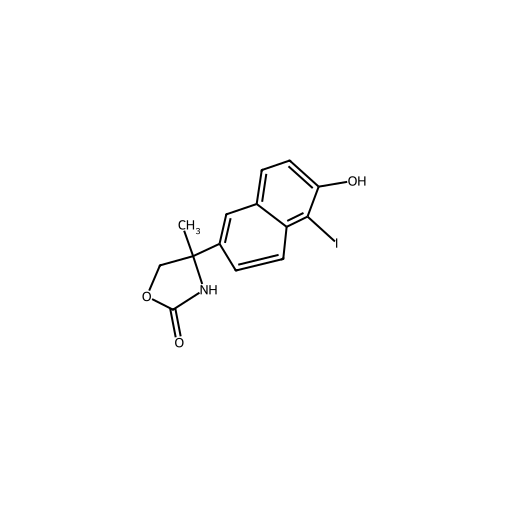 CC1(c2ccc3c(I)c(O)ccc3c2)COC(=O)N1